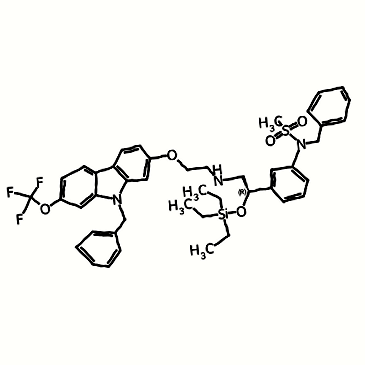 CC[Si](CC)(CC)O[C@@H](CNCCOc1ccc2c3ccc(OC(F)(F)F)cc3n(Cc3ccccc3)c2c1)c1cccc(N(Cc2ccccc2)S(C)(=O)=O)c1